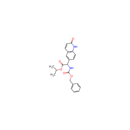 CC(C)OC(=O)C(NC(=O)OCc1ccccc1)c1ccc2[nH]c(=O)ccc2c1